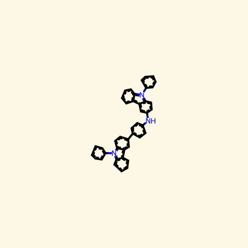 c1ccc(-n2c3ccccc3c3cc(Nc4ccc(-c5ccc6c(c5)c5ccccc5n6-c5ccccc5)cc4)ccc32)cc1